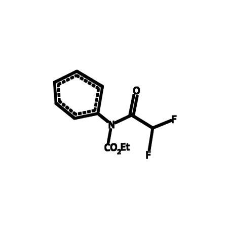 CCOC(=O)N(C(=O)C(F)F)c1ccccc1